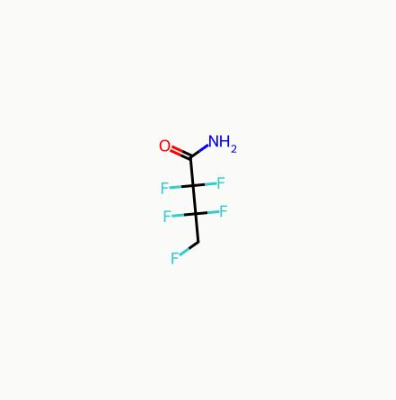 NC(=O)C(F)(F)C(F)(F)CF